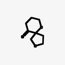 O=C1CCCOC12CCOC2